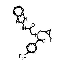 O=C(CN(CC1CC1F)C(=O)c1ccc(C(F)(F)F)cc1)Nc1nc2ccccn2n1